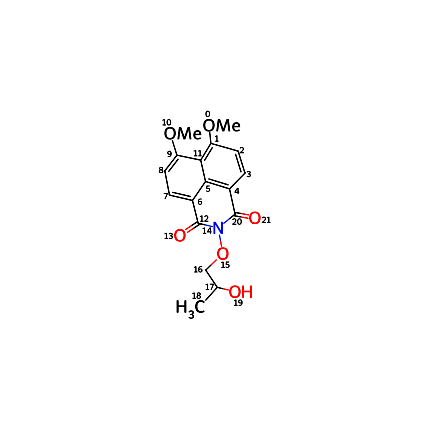 COc1ccc2c3c(ccc(OC)c13)C(=O)N(OCC(C)O)C2=O